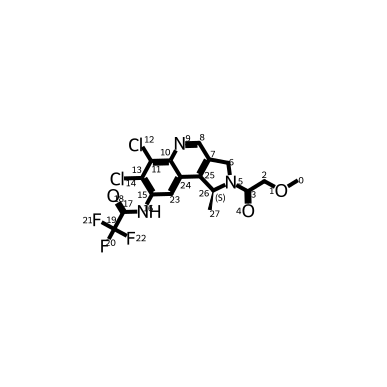 COCC(=O)N1Cc2cnc3c(Cl)c(Cl)c(NC(=O)C(F)(F)F)cc3c2[C@@H]1C